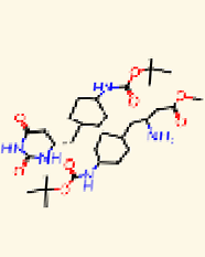 CC(C)(C)OC(=O)NC1CCC(C[C@H]2CC(=O)NC(=O)N2)CC1.COC(=O)CC(N)CC1CCC(NC(=O)OC(C)(C)C)CC1